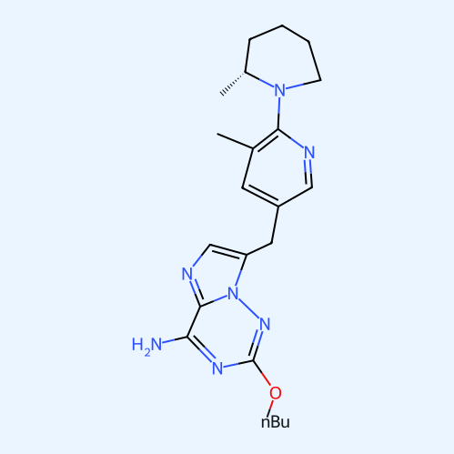 CCCCOc1nc(N)c2ncc(Cc3cnc(N4CCCC[C@H]4C)c(C)c3)n2n1